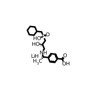 C[C@H](NC[C@@H](O)CP(=O)(O)CC1CCCCC1)c1ccc(C(=O)O)cc1.[LiH]